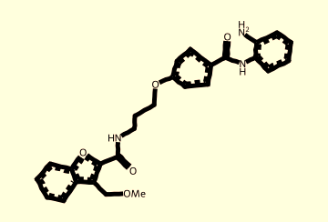 COCc1c(C(=O)NCCCOc2ccc(C(=O)Nc3ccccc3N)cc2)oc2ccccc12